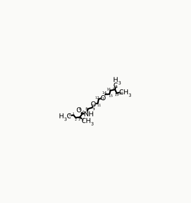 CCCC(C)C(=O)NCCOCCOCCCC(C)CC